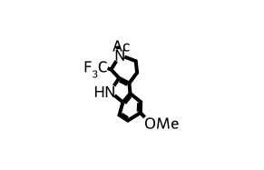 COc1ccc2[nH]c3c(c2c1)CCN(C(C)=O)C3C(F)(F)F